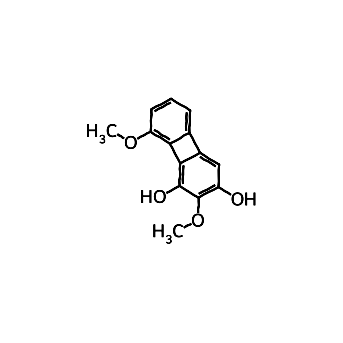 COc1cccc2c1-c1c-2cc(O)c(OC)c1O